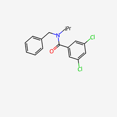 CC(C)N(Cc1ccccc1)C(=O)c1cc(Cl)cc(Cl)c1